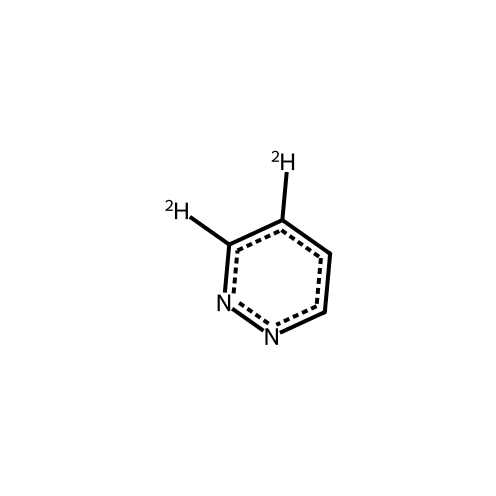 [2H]c1ccnnc1[2H]